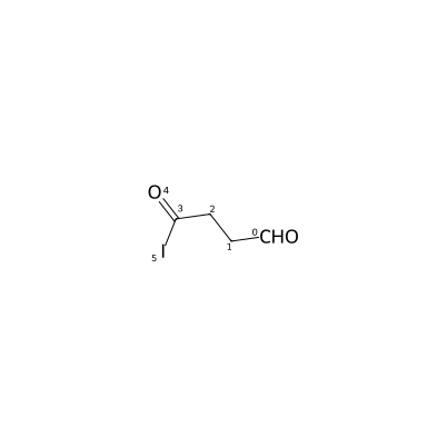 O=CCCC(=O)I